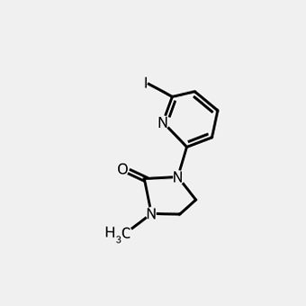 CN1CCN(c2cccc(I)n2)C1=O